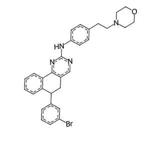 Brc1cccc(C2Cc3cnc(Nc4ccc(CCN5CCOCC5)cc4)nc3-c3ccccc32)c1